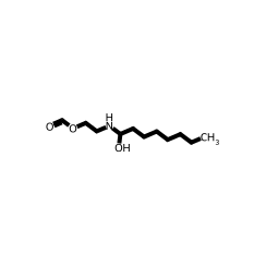 CCCCCCCC(O)NCCOC=O